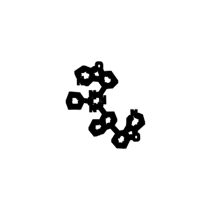 c1ccc(-c2nc(-c3ccc(-c4cccc5oc6ccncc6c45)c4ccccc34)nc(-c3cccc4oc5ccncc5c34)n2)cc1